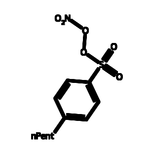 CCCCCc1ccc(S(=O)(=O)OO[N+](=O)[O-])cc1